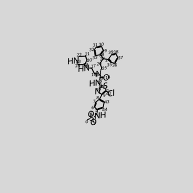 CS(=O)(=O)Nc1ccc(-c2nc(NC(=O)N(CCNC3CCCNC3)CCC(c3ccccc3)c3ccccc3)sc2Cl)cc1